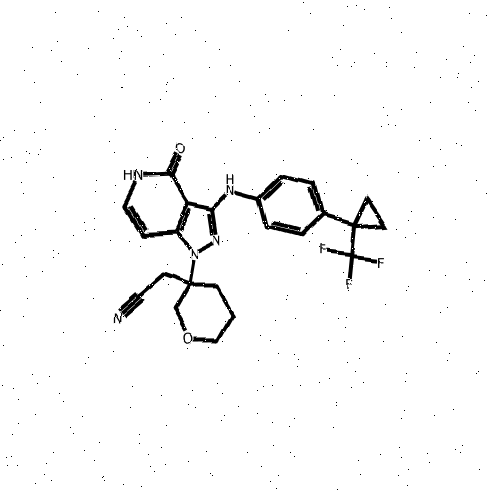 N#CCC1(n2nc(Nc3ccc(C4(C(F)(F)F)CC4)cc3)c3c(=O)[nH]ccc32)CCCOC1